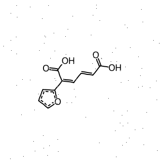 O=C(O)C=CC=C(C(=O)O)c1ccco1